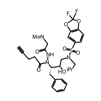 C#CCCC(=O)N(NC(=O)CNC)[C@@H](Cc1ccccc1)[C@H](O)CN(CC(C)C)S(=O)(=O)c1ccc2c(c1)OC(F)(F)O2